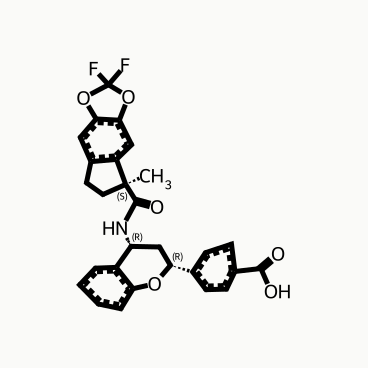 C[C@]1(C(=O)N[C@@H]2C[C@H](c3ccc(C(=O)O)cc3)Oc3ccccc32)CCc2cc3c(cc21)OC(F)(F)O3